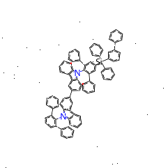 c1ccc(-c2cccc([Si](c3ccccc3)(c3ccccc3)c3cc(-c4ccccc4)c(-n4c5ccccc5c5cc(-c6ccc7c(c6)c6ccccc6n7-c6c(-c7ccccc7)cccc6-c6ccccc6)ccc54)c(-c4ccccc4)c3)c2)cc1